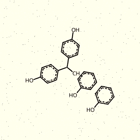 CC(c1ccc(O)cc1)c1ccc(O)cc1.Oc1ccccc1.Oc1ccccc1